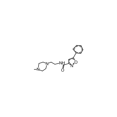 CN1CCN(CCNC(=O)c2cc(-c3ccccc3)on2)CC1